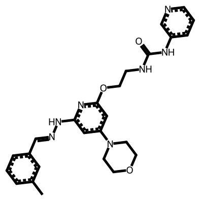 Cc1cccc(C=NNc2cc(N3CCOCC3)cc(OCCNC(=O)Nc3cccnc3)n2)c1